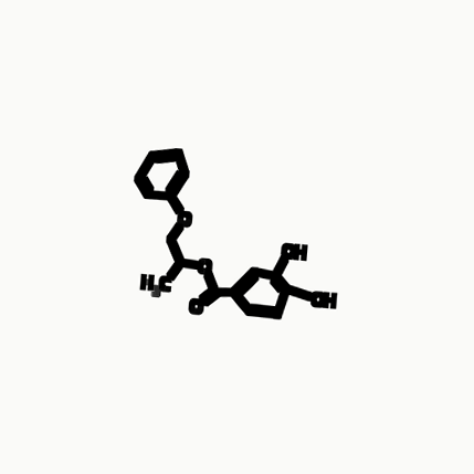 CC(COc1ccccc1)OC(=O)c1ccc(O)c(O)c1